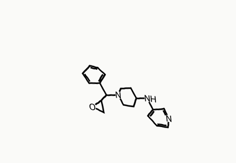 c1ccc(C(C2CO2)N2CCC(Nc3cccnc3)CC2)cc1